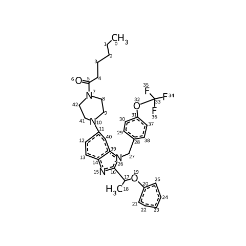 CCCCCC(=O)N1CCN(c2ccc3nc(C(C)Oc4ccccc4)n(Cc4ccc(OC(F)(F)F)cc4)c3c2)CC1